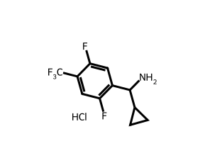 Cl.NC(c1cc(F)c(C(F)(F)F)cc1F)C1CC1